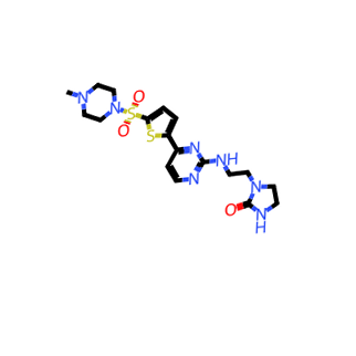 CN1CCN(S(=O)(=O)c2ccc(-c3ccnc(NCCN4CCNC4=O)n3)s2)CC1